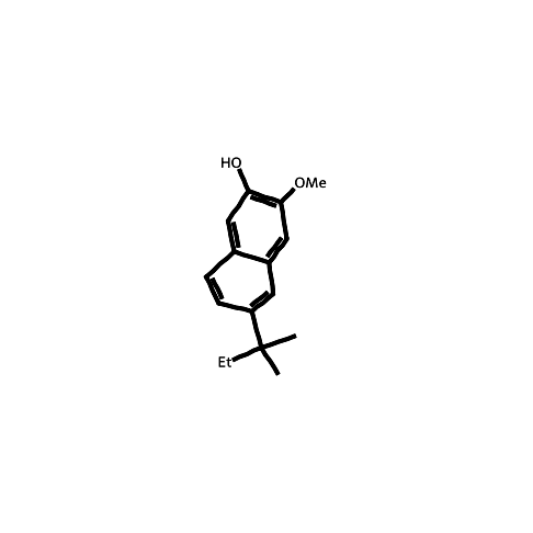 CCC(C)(C)c1ccc2cc(O)c(OC)cc2c1